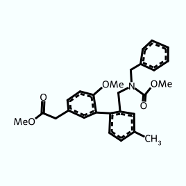 COC(=O)Cc1ccc(OC)c(-c2ccc(C)cc2CN(Cc2ccccc2)C(=O)OC)c1